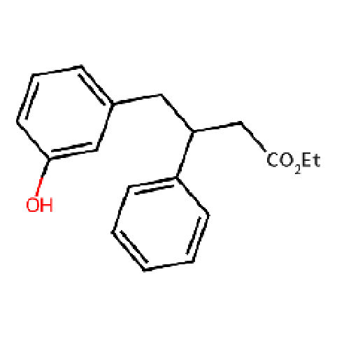 CCOC(=O)CC(Cc1cccc(O)c1)c1ccccc1